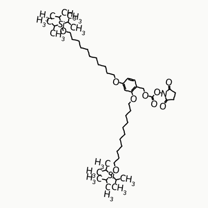 CC(C)[Si](OCCCCCCCCCCCOc1ccc(COC(=O)ON2C(=O)CCC2=O)c(OCCCCCCCCCCCO[Si](C(C)C)(C(C)C)C(C)C)c1)(C(C)C)C(C)C